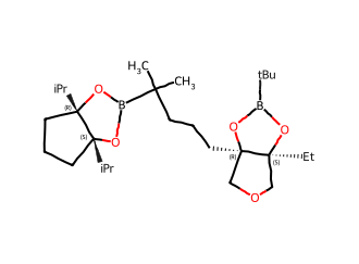 CC[C@]12COC[C@@]1(CCCC(C)(C)B1O[C@]3(C(C)C)CCC[C@]3(C(C)C)O1)OB(C(C)(C)C)O2